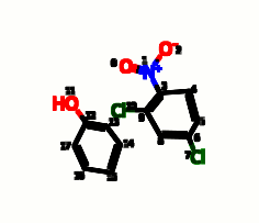 O=[N+]([O-])c1ccc(Cl)cc1Cl.Oc1ccccc1